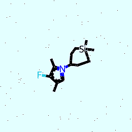 Cc1cn(C2CC[Si](C)(C)CC2)c(C)c1F